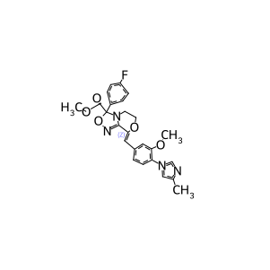 COC(=O)C1(c2ccc(F)cc2)ON=C2/C(=C/c3ccc(-n4cnc(C)c4)c(OC)c3)OCCN21